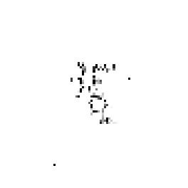 Nc1ccc(-n2nc(C(=O)O)c(=O)[nH]c2=O)cc1